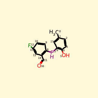 Cc1ccc(O)c(Pc2ccc(F)cc2C=O)c1